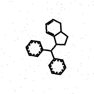 C1=CCC2CCC(C(c3ccccc3)c3ccccc3)C2=C1